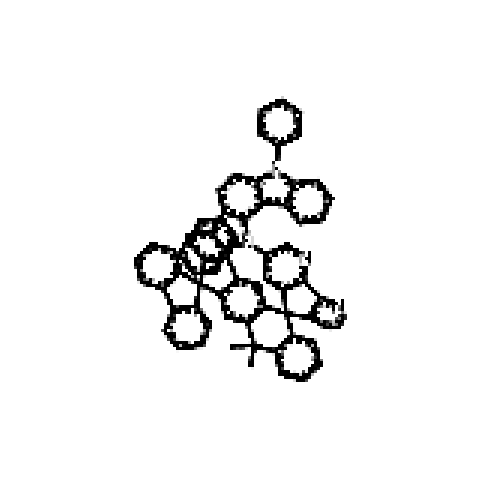 CC1(C)c2ccccc2C2(c3cc4c(cc31)C1(c3ccccc3-c3ccccc31)c1ccccc1-4)c1cccnc1-c1ncc(-n3c4ccccc4c4ccc5c(c6ccccc6n5-c5ccccc5)c43)cc12